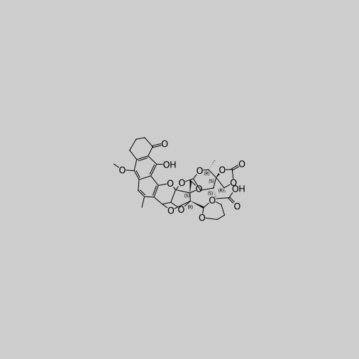 COc1c2c(c(O)c3c4c(c(C)cc13)C1O[C@@]3(C5OCCCO5)OC1C(OC1C[C@@H](CC(=O)O)[C@]5(OC(=O)O[C@@H]5C)[C@@H](C)O1)(O4)[C@@]31CO1)C(=O)CCC2